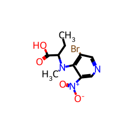 CCC(C(=O)O)N(C)c1c(Br)cncc1[N+](=O)[O-]